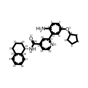 Nc1ccc(OC2CCCC2)cc1-c1cc(C(=O)N[C@H]2CCCc3ccccc32)ccn1